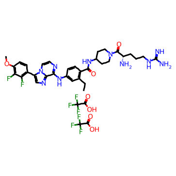 CCc1cc(Nc2nccn3c(-c4ccc(OC)c(F)c4F)cnc23)ccc1C(=O)NC1CCN(C(=O)[C@@H](N)CCCNC(=N)N)CC1.O=C(O)C(F)(F)F.O=C(O)C(F)(F)F